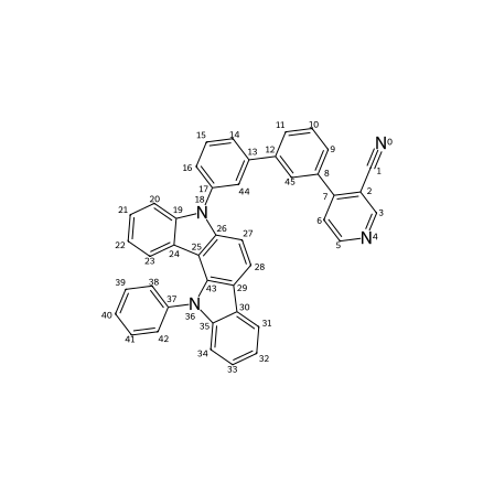 N#Cc1cnccc1-c1cccc(-c2cccc(-n3c4ccccc4c4c3ccc3c5ccccc5n(-c5ccccc5)c34)c2)c1